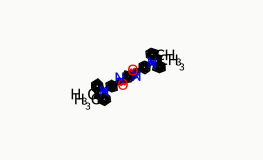 CC1(C)c2ccccc2N(c2ccc(-c3nc4cc5oc(-c6ccc(N7c8ccccc8C(C)(C)c8ccccc87)cc6)nc5cc4o3)cc2)c2ccccc21